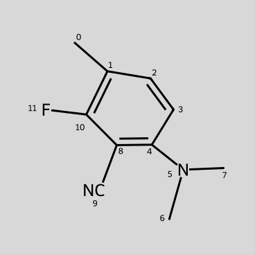 Cc1ccc(N(C)C)c(C#N)c1F